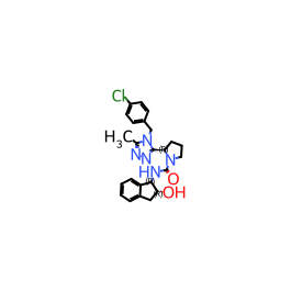 Cc1nnc([C@H]2CCCN2C(=O)N[C@@H]2c3ccccc3C[C@H]2O)n1Cc1ccc(Cl)cc1